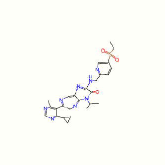 CCS(=O)(=O)c1ccc(CNc2nc3c(n(C(C)C)c2=O)=NCC(c2c(C)ncnc2C2CC2)=NC=3)nc1